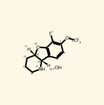 Cl.Fc1c(OC(F)(F)F)ccc2c1O[C@H]1CCCN[C@@H]21